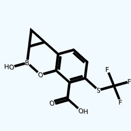 O=C(O)c1c(SC(F)(F)F)ccc2c1OB(O)C1CC21